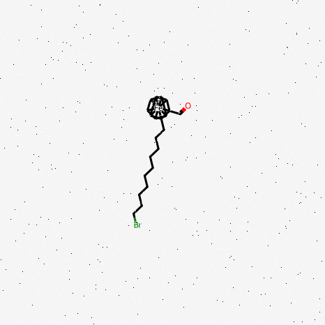 O=C[C]12[CH]3[CH]4[CH]5[C]1(CCCCCCCCCCBr)[Fe]43521678[CH]2[CH]1[CH]6[CH]7[CH]28